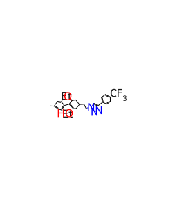 CCc1cc(C)cc(CC)c1C1=C(O)CC(CCn2cc(-c3ccc(C(F)(F)F)cc3)nn2)CC1=O